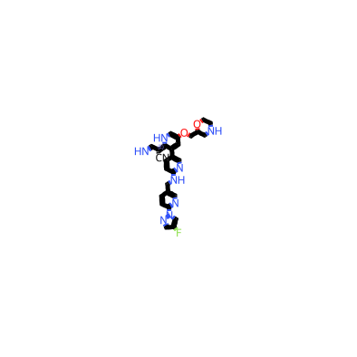 N#C/C(C=N)=C1/NC=C(OCC2CNCCO2)C=C1c1ccc(NCc2ccc(-n3cc(F)cn3)nc2)nc1